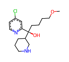 COCCCC[C@@](O)(c1cc(Cl)ccn1)C1CCCNC1